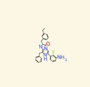 CCc1cccc(Cc2nc3c(Cc4ccccc4)[nH]c(-c4cccc(N)c4F)cn-3c2=O)c1